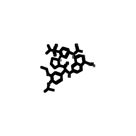 CCOc1cc(C(Nc2ccc3c(N)nccc3c2)C(=O)N2CCC[C@H]2c2cc(NC(C)=O)ccc2S(=O)(=O)C(C)C)ccc1OC(C)C